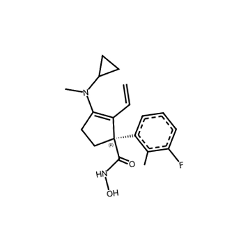 C=CC1=C(N(C)C2CC2)CC[C@@]1(C(=O)NO)c1cccc(F)c1C